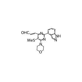 CSc1c(/C=C/C=O)nc(-c2cccc3[nH]ncc23)nc1N1CCOCC1